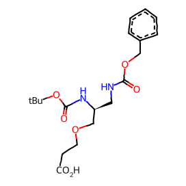 CC(C)(C)OC(=O)N[C@@H](CNC(=O)OCc1ccccc1)COCCC(=O)O